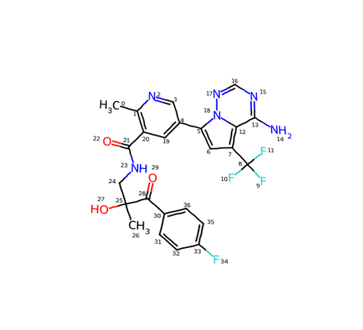 Cc1ncc(-c2cc(C(F)(F)F)c3c(N)ncnn23)cc1C(=O)NCC(C)(O)C(=O)c1ccc(F)cc1